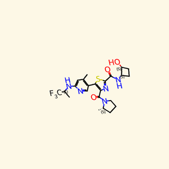 Cc1cc(N[C@@H](C)C(F)(F)F)ncc1-c1sc(C(=O)N[C@H]2CC[C@@H]2O)nc1C(=O)N1CCC[C@@H]1C